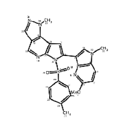 COc1ccc2c(n1)c(-c1cc3c4c(cnc3n1S(=O)(=O)c1ccc(C)cc1)cnn4C)cn2C